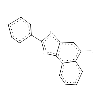 Brc1cc2nc(-c3ccccc3)oc2c2ccccc12